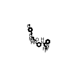 COc1ccc(COc2cc(C(=O)N[C@@H]3CCC[C@H](Nc4cc(C(F)(F)F)nc5ccccc45)C3)on2)cc1